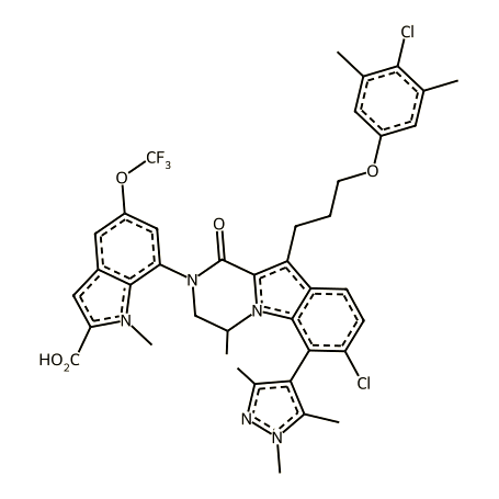 Cc1cc(OCCCc2c3n(c4c(-c5c(C)nn(C)c5C)c(Cl)ccc24)C(C)CN(c2cc(OC(F)(F)F)cc4cc(C(=O)O)n(C)c24)C3=O)cc(C)c1Cl